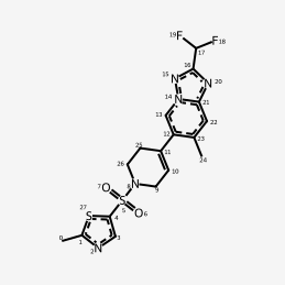 Cc1ncc(S(=O)(=O)N2CC=C(c3cn4nc(C(F)F)nc4cc3C)CC2)s1